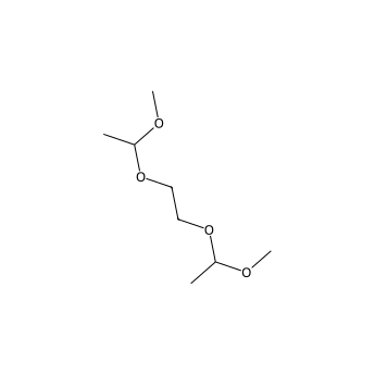 COC(C)OCCOC(C)OC